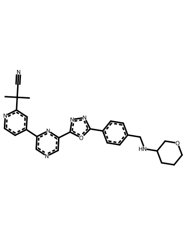 CC(C)(C#N)c1cc(-c2cncc(-c3nnc(-c4ccc(CNC5CCCOC5)cc4)o3)n2)ccn1